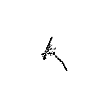 CCCCCCCCCCCCSSSCC(C)OC(=O)CCN(CCCN(CCO)CCO)CCC(OC(C)CSSSCCCCCCCCCCCC)=C1CCC1